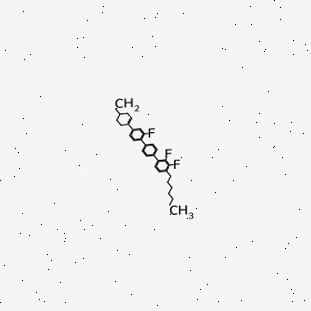 C=CC1CC=C(c2ccc(-c3ccc(-c4ccc(CCCCCCC)c(F)c4F)cc3)c(F)c2)CC1